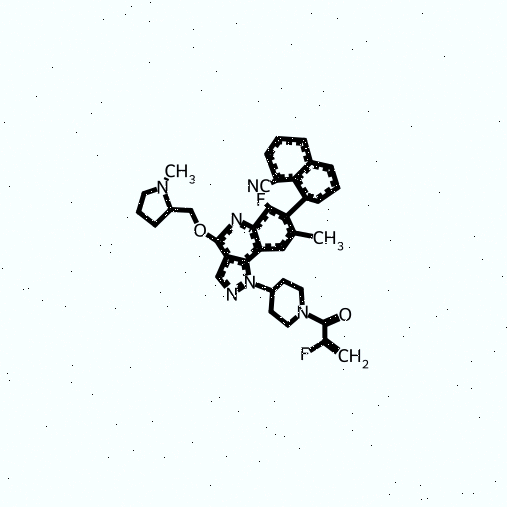 C=C(F)C(=O)N1CCC(n2ncc3c(OCC4CCCN4C)nc4c(F)c(-c5cccc6cccc(C#N)c56)c(C)cc4c32)CC1